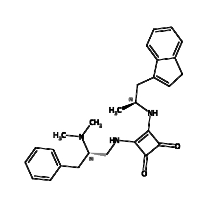 C[C@@H](CC1=CCc2ccccc21)Nc1c(NC[C@H](Cc2ccccc2)N(C)C)c(=O)c1=O